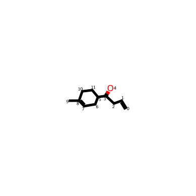 C=CCC(=O)C1CC=C(C)CC1